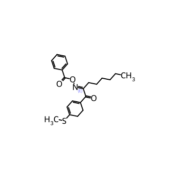 CCCCCC/C(=N\OC(=O)c1ccccc1)C(=O)C1=CC=C(SC)CC1